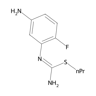 CCCS/C(N)=N\c1cc(N)ccc1F